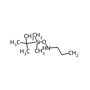 [CH2]CCNO[Si](C)(C)C(C)(C)C